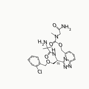 CN(CC(N)=O)C(=O)OCc1cccc2nnc([C@@H](COCc3ccccc3Cl)NC(=O)C(C)(C)N)n12